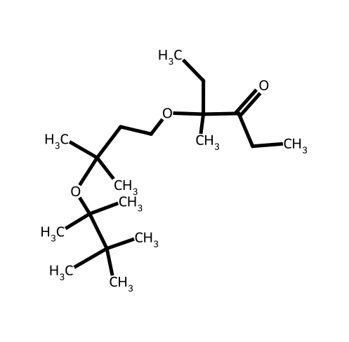 CCC(=O)C(C)(CC)OCCC(C)(C)OC(C)(C)C(C)(C)C